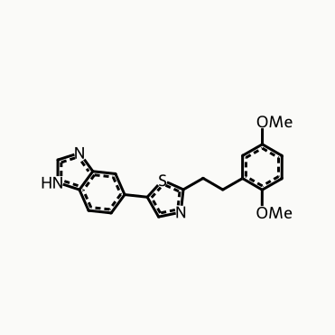 COc1ccc(OC)c(CCc2ncc(-c3ccc4[nH]cnc4c3)s2)c1